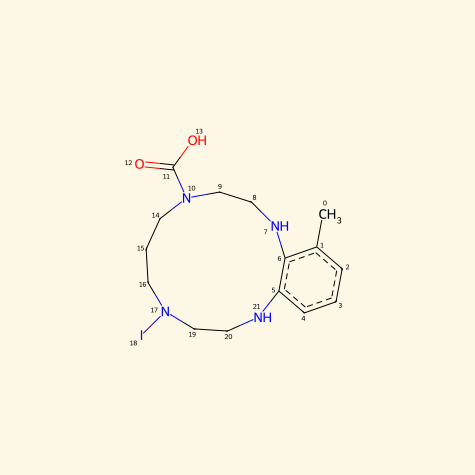 Cc1cccc2c1NCCN(C(=O)O)CCCN(I)CCN2